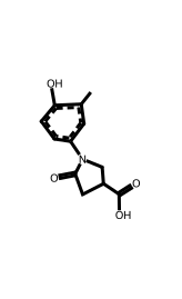 Cc1cc(N2CC(C(=O)O)CC2=O)ccc1O